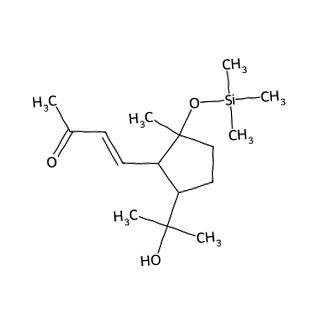 CC(=O)C=CC1C(C(C)(C)O)CCC1(C)O[Si](C)(C)C